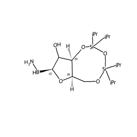 CC(C)[Si]1(C(C)C)OC[C@H]2O[C@@H](BN)C(O)[C@H]2O[Si](C(C)C)(C(C)C)O1